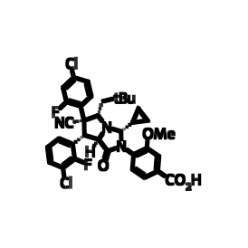 COc1cc(C(=O)O)ccc1N1C(=O)[C@H]2[C@H](c3cccc(Cl)c3F)[C@@](C#N)(c3ccc(Cl)cc3F)[C@H](CC(C)(C)C)N2[C@@H]1C1CC1